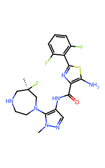 Cn1ncc(NC(=O)c2nc(-c3c(F)cccc3F)sc2N)c1N1CCNC[C@@](C)(F)C1